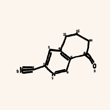 N#Cc1cc2c(cn1)C(=O)CCC2